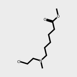 COC(=O)CCCCCN(C)CCCl